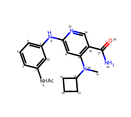 CC(=O)Nc1cccc(Nc2cc(N(C)C3CCC3)c(C(N)=O)cn2)c1